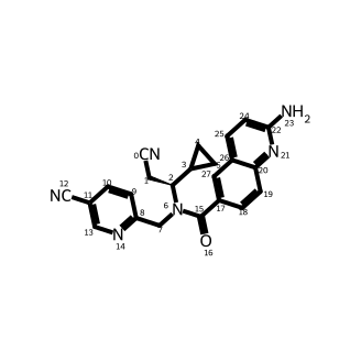 N#CC[C@@H](C1CC1)N(Cc1ccc(C#N)cn1)C(=O)c1ccc2nc(N)ccc2c1